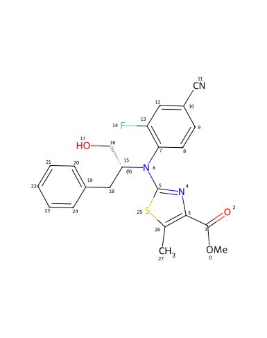 COC(=O)c1nc(N(c2ccc(C#N)cc2F)[C@@H](CO)Cc2ccccc2)sc1C